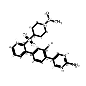 C[S+]([O-])N1CCC(S(=O)(=O)c2ncccc2-c2ccc(-c3cnc(N)nc3)c(F)c2)CC1